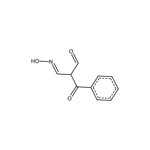 O=CC(C=NO)C(=O)c1ccccc1